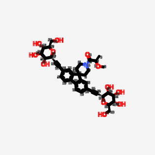 CO[C@H](C)C(=O)N1CCC2(CC1)c1cc(C#C[C@H]3O[C@H](CO)[C@@H](O)[C@H](O)[C@@H]3O)ccc1-c1ccc(C#C[C@H]3O[C@H](CO)[C@@H](O)[C@H](O)[C@@H]3O)cc12